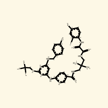 CC(C)(CNC(=O)C(=O)Nc1ccc(F)cc1F)CNC(=O)c1ccc(Nc2cc(NCc3ccc(Cl)cc3)nc(OCC(F)(F)F)n2)nc1